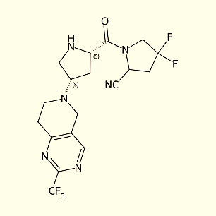 N#CC1CC(F)(F)CN1C(=O)[C@@H]1C[C@H](N2CCc3nc(C(F)(F)F)ncc3C2)CN1